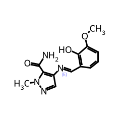 COc1cccc(/C=N/c2cnn(C)c2C(N)=O)c1O